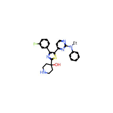 CCN(c1ccccc1)c1nccc(-c2sc(C3(O)CCNCC3)nc2-c2cccc(F)c2)n1